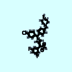 CN1CCN(Cc2ccc([C@H](c3ccc(Cl)cc3)N3CC(=C(c4cc(F)cc(F)c4)S(C)(=O)=O)C3)cc2)CC1